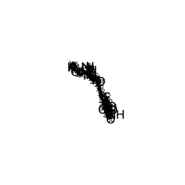 Nc1ncnc2c1c(-c1ccc(Oc3ccccc3)cc1)nn2C1CCN(C(=O)CCCCCCSc2cc3c(cc2F)C(=O)N(C2CCC(=O)NC2=O)C3=O)CC1